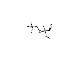 CCC(C)([C]=O)OCC(C)(C)C